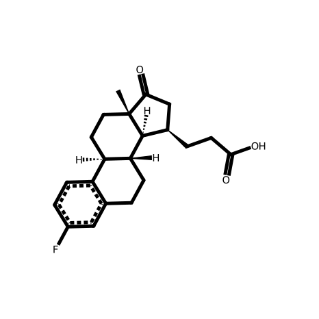 C[C@]12CC[C@@H]3c4ccc(F)cc4CC[C@H]3[C@@H]1[C@H](CCC(=O)O)CC2=O